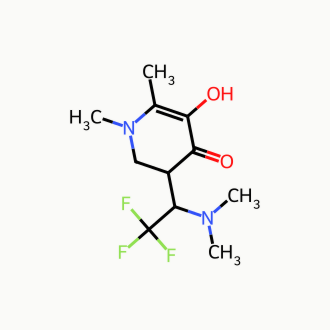 CC1=C(O)C(=O)C(C(N(C)C)C(F)(F)F)CN1C